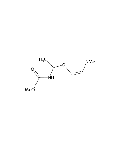 CN/C=C\OC(C)NC(=O)OC